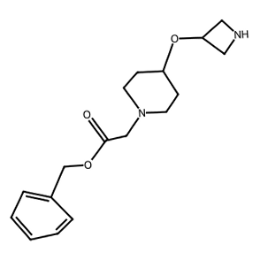 O=C(CN1CCC(OC2CNC2)CC1)OCc1ccccc1